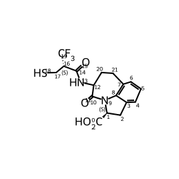 O=C(O)[C@@H]1Cc2cccc3c2N1C(=O)C(NC(=O)[C@H](CS)C(F)(F)F)CC3